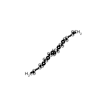 C=CC(=O)OCCCCOC(=O)Oc1ccc(C(=O)Oc2ccc(C(=O)OC3CC[C@H]4[C@@H]3OC[C@H]4OC(=O)c3ccc(OC(=O)c4ccc(OC(=O)OCCCCOC(=O)C=C)cc4)cc3)cc2)cc1